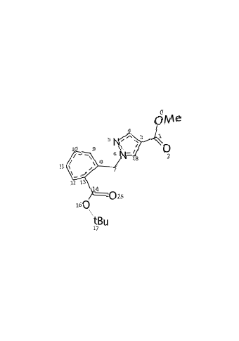 COC(=O)c1cnn(Cc2ccccc2C(=O)OC(C)(C)C)c1